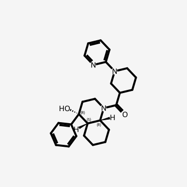 O=C(C1CCCN(c2ccccn2)C1)N1CC[C@](O)(c2ccccc2)[C@H]2CCCC[C@H]21